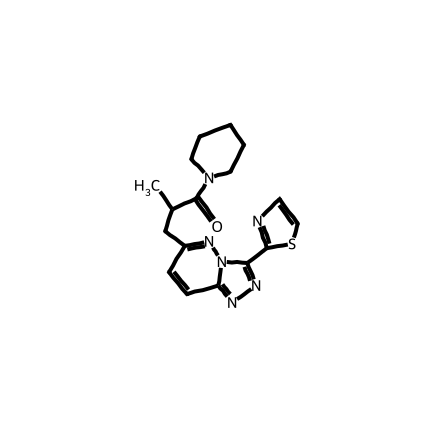 CC(Cc1ccc2nnc(-c3nccs3)n2n1)C(=O)N1CCCCC1